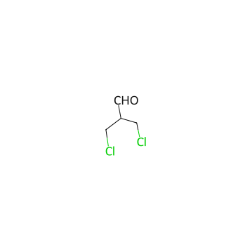 O=CC(CCl)CCl